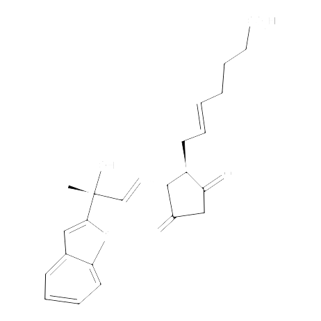 C=C1CC(=O)[C@H](CC=CCCCC(=O)O)[C@H]1C=C[C@@](C)(O)c1cc2ccccc2s1